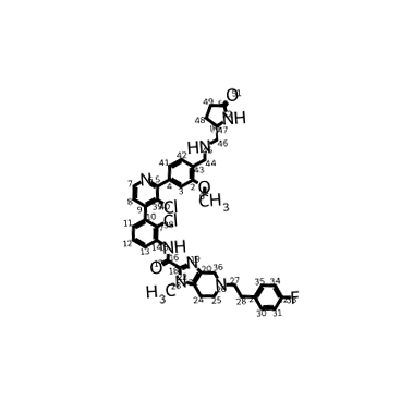 COc1cc(-c2nccc(-c3cccc(NC(=O)c4nc5c(n4C)CCN(CCc4ccc(F)cc4)C5)c3Cl)c2Cl)ccc1CNC[C@H]1CCC(=O)N1